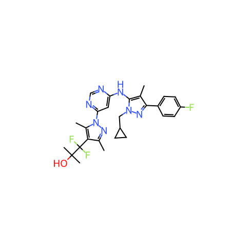 Cc1nn(-c2cc(Nc3c(C)c(-c4ccc(F)cc4)nn3CC3CC3)ncn2)c(C)c1C(F)(F)C(C)(C)O